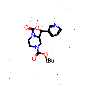 CC(C)(C)OC(=O)N1CCN2C(=O)OC(c3cccnc3)C2C1